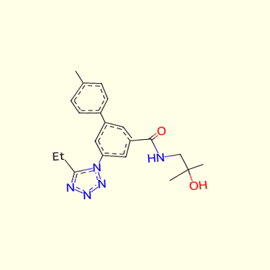 CCc1nnnn1-c1cc(C(=O)NCC(C)(C)O)cc(-c2ccc(C)cc2)c1